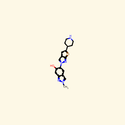 Cn1cc2cc(-n3cc4cc(C5CCNCC5)sc4n3)c(O)cc2n1